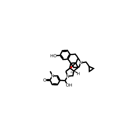 Cn1cc(C(O)N2C[C@H]3CC45CCC2C3C42CCN(CC3CC3)C5Cc3ccc(O)cc32)ccc1=O